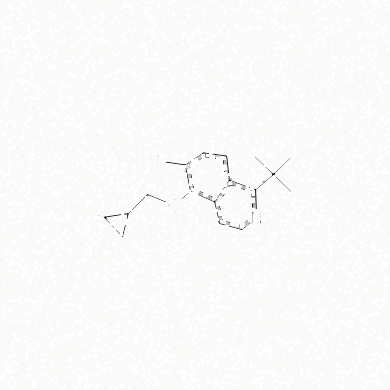 CC(C)(C)c1nccc2c(OCC3CC3)c(F)ccc12